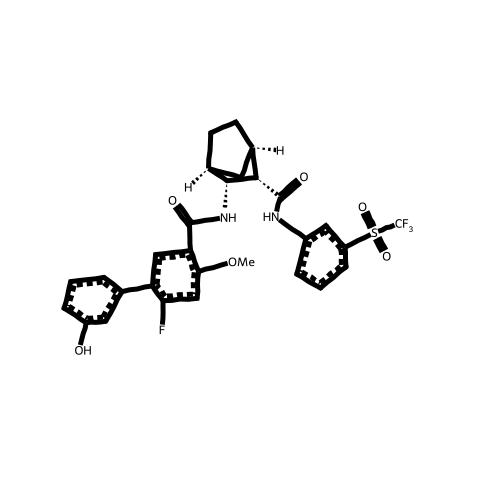 COc1cc(F)c(-c2cccc(O)c2)cc1C(=O)N[C@@H]1[C@H]2CC[C@H](C2)[C@@H]1C(=O)Nc1cccc(S(=O)(=O)C(F)(F)F)c1